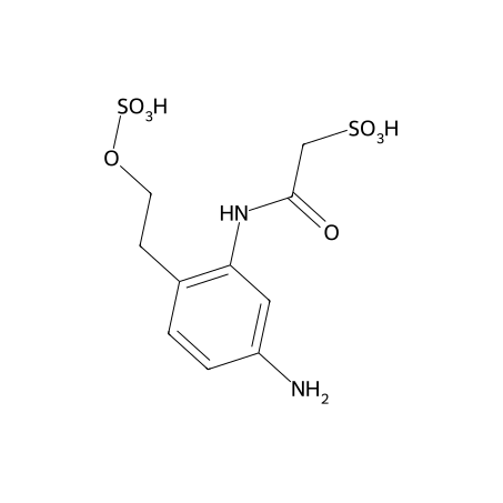 Nc1ccc(CCOS(=O)(=O)O)c(NC(=O)CS(=O)(=O)O)c1